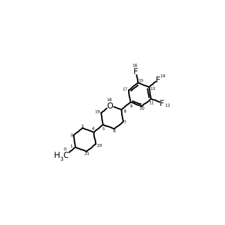 CC1CCC(C2CCC(c3cc(F)c(F)c(F)c3)OC2)CC1